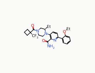 CCOc1ccccc1-c1ccc(N2CCN(C(=O)C3(C(F)(F)F)CCC3)C[C@H]2CC)c(C(N)=O)n1